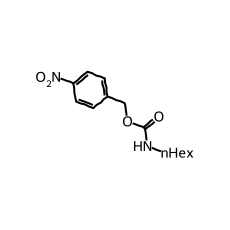 [CH2]CCCCCNC(=O)OCc1ccc([N+](=O)[O-])cc1